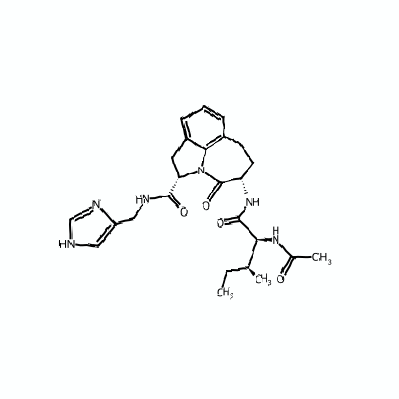 CC[C@H](C)[C@H](NC(C)=O)C(=O)N[C@H]1CCc2cccc3c2N(C1=O)[C@H](C(=O)NCc1c[nH]cn1)C3